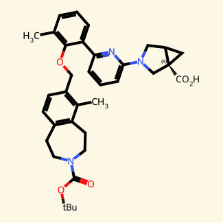 Cc1cccc(-c2cccc(N3CC4C[C@]4(C(=O)O)C3)n2)c1OCc1ccc2c(c1C)CCN(C(=O)OC(C)(C)C)CC2